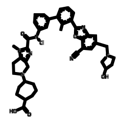 Cc1c(-c2cccc(N(Cl)C(=O)c3nc4c(n3C)CCN(C3CCCC(C(=O)O)CC3)C4)c2)cccc1-c1nc2cc(CN3CCC(O)C3)cc(C#N)c2o1